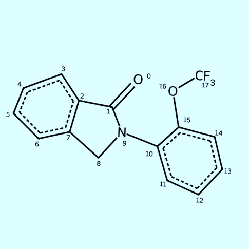 O=C1c2ccccc2CN1c1ccccc1OC(F)(F)F